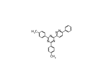 Cc1ccc(-c2nc(-c3ccc(C)cc3)nc(-c3ccc(-c4ccccc4)nn3)n2)cc1